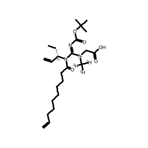 [2H]C([2H])([2H])N(CC(=O)O)C(=NC(=O)OC(C)(C)C)N(C(=O)CCCCCCCC=C)[C@H](C=C)CC